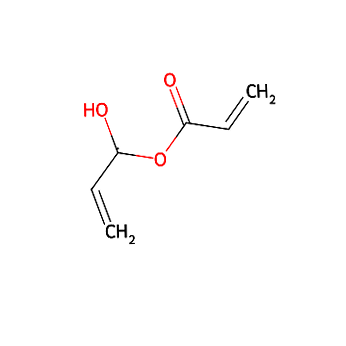 C=C[C](O)OC(=O)C=C